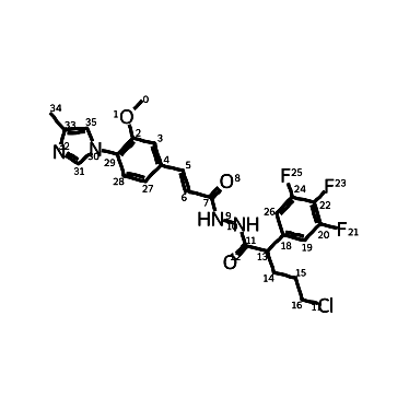 COc1cc(/C=C/C(=O)NNC(=O)C(CCCCl)c2cc(F)c(F)c(F)c2)ccc1-n1cnc(C)c1